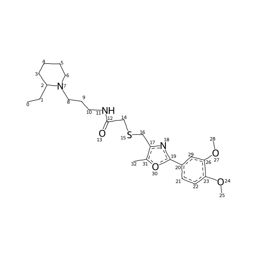 CCC1CCCCN1CCCNC(=O)CSCc1nc(-c2ccc(OC)c(OC)c2)oc1C